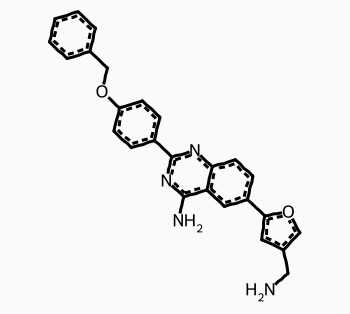 NCc1coc(-c2ccc3nc(-c4ccc(OCc5ccccc5)cc4)nc(N)c3c2)c1